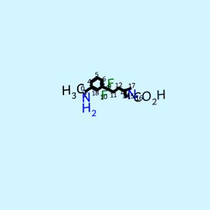 C[C@@H](N)c1cccc(C(F)(F)CCC2CN(C(=O)O)C2)c1